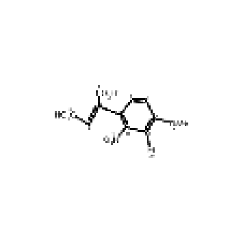 CCOC(=O)C(=CC(=O)O)c1ccc(NC)c(CC)c1[N+](=O)[O-]